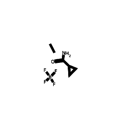 CC.F[B-](F)(F)F.NC(=O)C1CC1